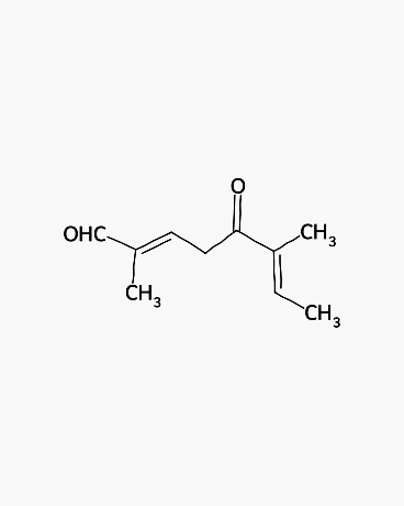 CC=C(C)C(=O)CC=C(C)C=O